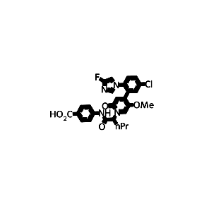 CCCC(C(=O)Nc1ccc(C(=O)O)cc1)n1cc(OC)c(-c2cc(Cl)ccc2-n2cnc(F)c2)cc1=O